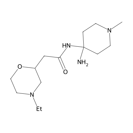 CCN1CCOC(CC(=O)NC2(N)CCN(C)CC2)C1